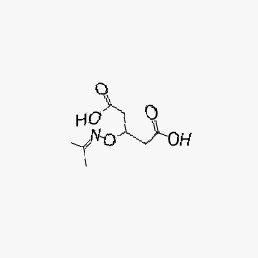 CC(C)=NOC(CC(=O)O)CC(=O)O